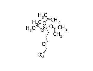 C=C(C)O[Si](CCCOCC1CO1)(OC(=C)C)OC(=C)C